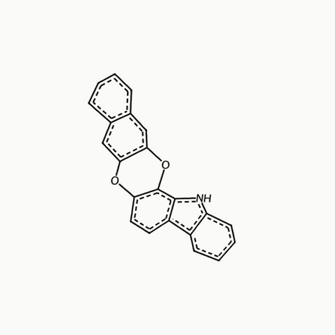 c1ccc2cc3c(cc2c1)Oc1ccc2c([nH]c4ccccc42)c1O3